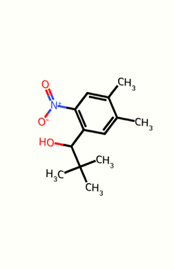 Cc1cc(C(O)C(C)(C)C)c([N+](=O)[O-])cc1C